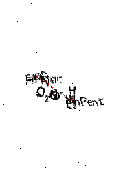 CCCCCC(CC)Nc1cc[n+](CCCCCCCCCCCCCCCC[n+]2ccc(NC(CC)CCCCC)cc2)cc1.O=[N+]([O-])[O-].O=[N+]([O-])[O-]